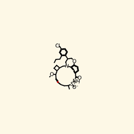 CCCc1cc(Cl)ccc1C1COc2ccc3cc2N(C1)CC1CCC1C(OC)C1=CC(C1)CC(C)[S+]([O-])NC3=O